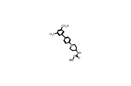 Cc1cc(C(=O)O)cc(-c2ccc(N3CCC(NC(=O)OC(C)(C)C)CC3)cc2)c1